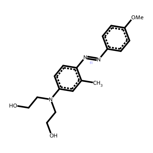 COc1ccc(/N=N/c2ccc(N(CCO)CCO)cc2C)cc1